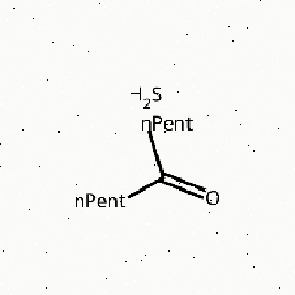 CCCCCC(=O)CCCCC.S